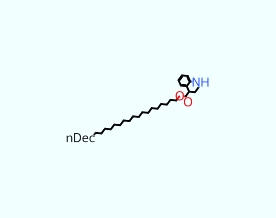 CCCCCCCCCCCCCCCCCCCCCCCCCCCCOC(=O)C1CCNc2ccccc21